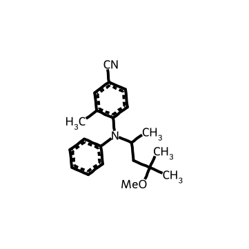 COC(C)(C)CC(C)N(c1ccccc1)c1ccc(C#N)cc1C